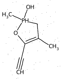 C#CC1=C(C)C[PH](C)(O)O1